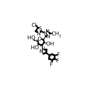 Cc1nc([C@@H]2O[C@H](CO)[C@H](O)[C@H](n3cc(-c4cc(F)c(F)c(F)c4)cn3)[C@H]2O)n(-c2ncc(Cl)s2)n1